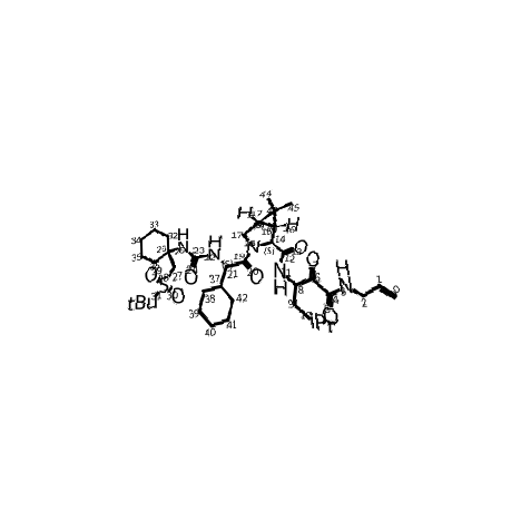 C=CCNC(=O)C(=O)C(CC(C)C)NC(=O)[C@@H]1[C@@H]2[C@H](CN1C(=O)[C@@H](NC(=O)NC1(CS(=O)(=O)C(C)(C)C)CCCCC1)C1CCCCC1)C2(C)C